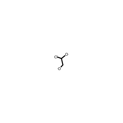 [O]CC([O])Cl